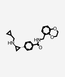 O=C(NCc1cccc2c1OCCO2)c1ccc([C@@H]2C[C@H]2NCC2CC2)cc1